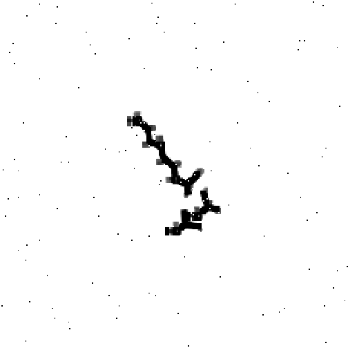 CC(C)O.CC(C)O.CC(C)OCCOCCO